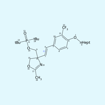 CCCCCCCOc1ccc(/C=C/C2(COP(=O)(C(C)(C)C)C(C)(C)C)COC(C)=N2)cc1C(F)(F)F